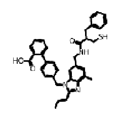 CCCc1nc2c(C)cc(CNC(=O)C(CS)Cc3ccccc3)cc2n1Cc1ccc(-c2ccccc2C(=O)O)cc1